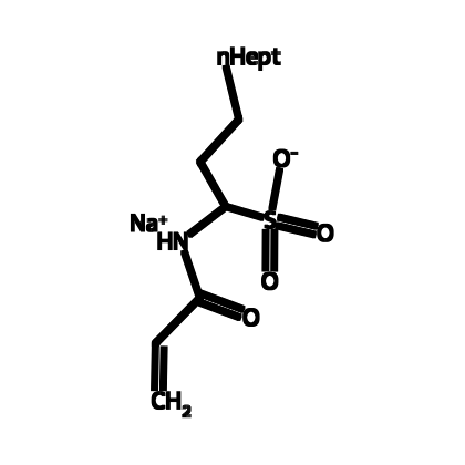 C=CC(=O)NC(CCCCCCCCC)S(=O)(=O)[O-].[Na+]